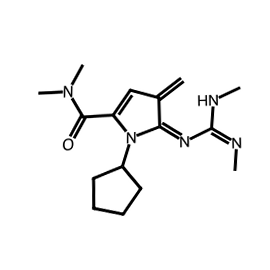 C=C1C=C(C(=O)N(C)C)N(C2CCCC2)/C1=N/C(=N\C)NC